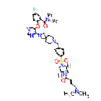 CC(C)N(C(=O)c1cc(F)ccc1Oc1cncnc1N1CC2(CCN(Cc3ccc(S(=O)(=O)N4C[C@@H]5C[C@H]4CN5C(=O)/C=C/CN(C)C)cc3)CC2)C1)C(C)C